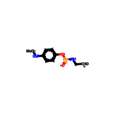 CONc1ccc(O[PH](=O)NCC=O)cc1